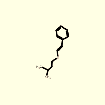 CC(C)CCOC=Cc1ccccc1